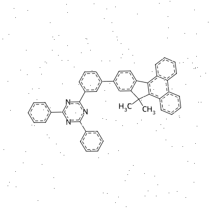 CC1(C)c2cc(-c3cccc(-c4nc(-c5ccccc5)nc(-c5ccccc5)n4)c3)ccc2-c2c1c1ccccc1c1ccccc21